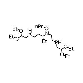 CCCON(CCPCC(OCC)OCC)C(CC)CCPCC(OCC)OCC